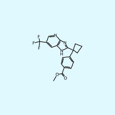 COC(=O)c1ccc(C2(c3nc4ncc(C(F)(F)F)cc4[nH]3)CCC2)cc1